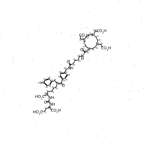 O=C(O)CC[C@@H](NC(=O)N[C@H](CCCCN(Cc1ccc(I)cc1)C(=O)c1ccc(CNC(=O)CCCCNC(=O)CN2CCN(CC(=O)O)CCN(CC(=O)O)CCN(CC(=O)O)CC2)cc1)C(=O)O)C(=O)O